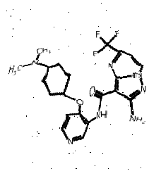 CN(C)C1CCC(Oc2ccncc2NC(=O)c2c(N)nn3ccc(C(F)(F)F)nc23)CC1